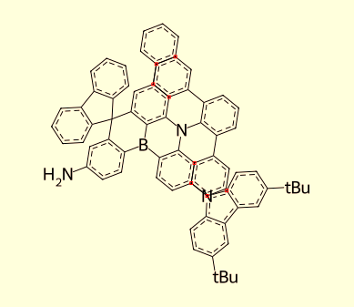 CC(C)(C)c1ccc2c(c1)c1cc(C(C)(C)C)ccc1n2-c1ccc2c(c1)N(c1c(-c3ccccc3)cccc1-c1ccccc1)c1cc(-c3ccccc3)cc3c1B2c1ccc(N)cc1C31c2ccccc2-c2ccccc21